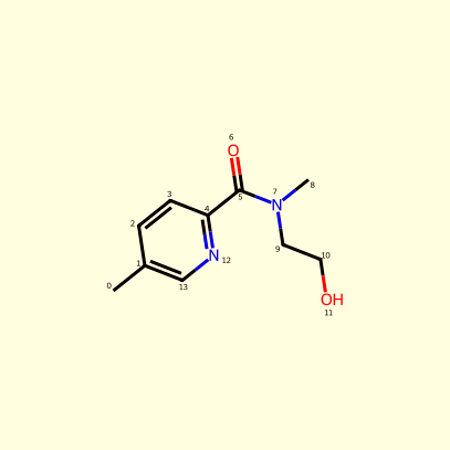 Cc1ccc(C(=O)N(C)CCO)nc1